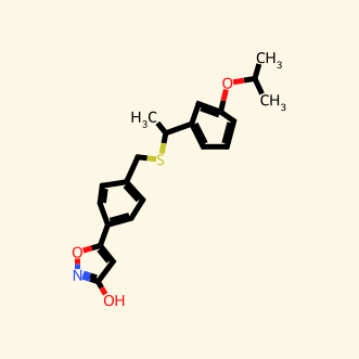 CC(C)Oc1cccc(C(C)SCc2ccc(-c3cc(O)no3)cc2)c1